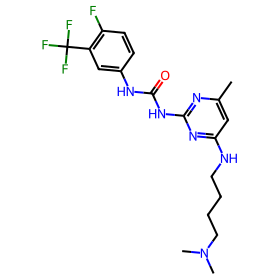 Cc1cc(NCCCCN(C)C)nc(NC(=O)Nc2ccc(F)c(C(F)(F)F)c2)n1